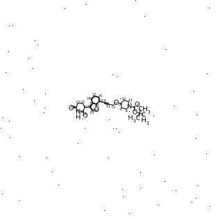 CC(C)(C)OC(=O)N1CCC(OCC#Cc2cccc3c(C4CCC(=O)NC4=O)coc23)CC1